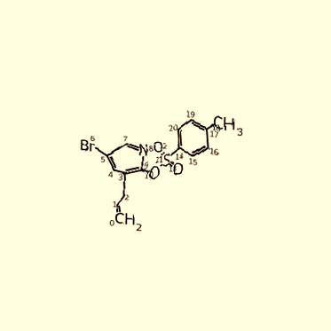 C=CCc1cc(Br)cnc1OS(=O)(=O)c1ccc(C)cc1